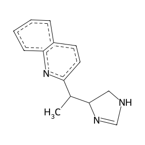 CC(c1ccc2ccccc2n1)C1CNC=N1